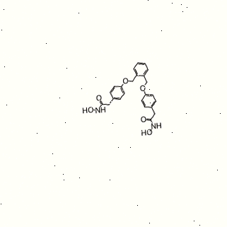 O=C(Cc1ccc(OCc2ccccc2COc2ccc(CC(=O)NO)cc2)cc1)NO